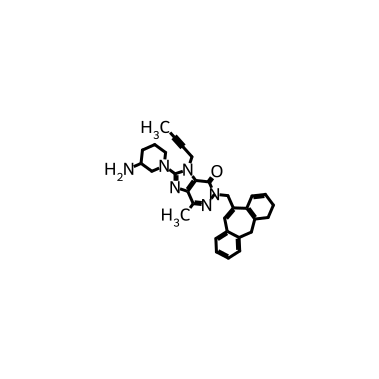 CC#CCn1c(N2CCCC(N)C2)nc2c(C)nn(CC3=Cc4ccccc4CC4=C3C=CCC4)c(=O)c21